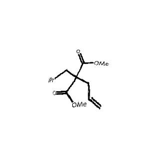 C=CCC(CC(C)C)(C(=O)OC)C(=O)OC